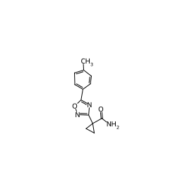 Cc1ccc(-c2nc(C3(C(N)=O)CC3)no2)cc1